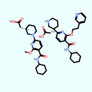 COc1nc(N2CCC[C@@H](CC(=O)O)C2)ccc1C(=O)NC1CCCCC1.O=C(O)C[C@@]1(c2ccc(C(=O)NC3CCCCC3)c(OCCc3cccnc3)n2)CCCNC1